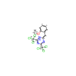 COc1ccccc1/C=C1/N=C(C(Cl)(Cl)Cl)N=C(C(Cl)(Cl)Cl)N1